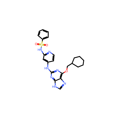 O=S(=O)(Nc1cc(Nc2nc(OCC3CCCCC3)c3nc[nH]c3n2)ccn1)c1ccccc1